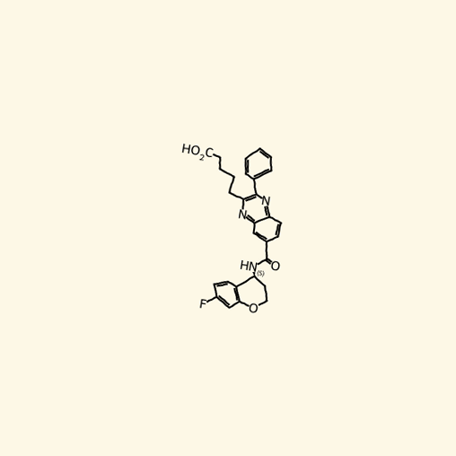 O=C(O)CCCCc1nc2cc(C(=O)N[C@H]3CCOc4cc(F)ccc43)ccc2nc1-c1ccccc1